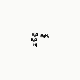 O.O.[Hf].[MgH2]